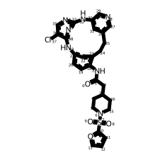 O=C(CC1CCN(S(=O)(=O)c2ccco2)CC1)Nc1ccc2cc1CCc1cncc(c1)Nc1ncc(Cl)c(n1)N2